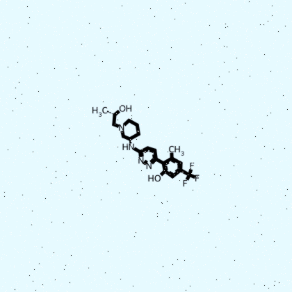 Cc1cc(C(F)(F)F)cc(O)c1-c1ccc(N[C@@H]2CCCN(C[C@H](C)O)C2)nn1